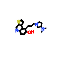 CN(C)C1CCN(C/C=C/c2c(O)ccc3ncc4sccc4c23)C1